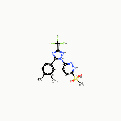 Cc1ccc(-c2nc(C(F)(F)F)nn2-c2ccc(S(C)(=O)=O)nn2)cc1C